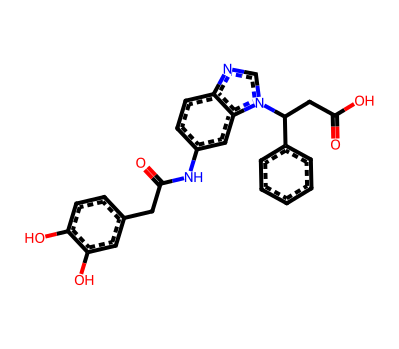 O=C(O)CC(c1ccccc1)n1cnc2ccc(NC(=O)Cc3ccc(O)c(O)c3)cc21